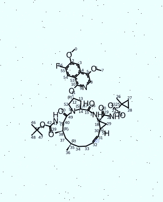 COc1cc2c(OC)cnc(O[C@@H]3C[C@H]4C(=O)N[C@]5(C(=O)NS(=O)(=O)C6(C)CC6)C[C@H]5/C=C\CC[C@@H](C)C[C@@H](C)[C@H](NC(=O)OC(C)(C)C)C(=O)N4C3)c2cc1F